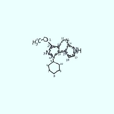 COc1nn(C2CCCCC2)c2c1cnc1[nH]ccc12